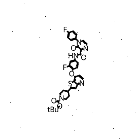 CC(C)(C)OC(=O)N1CCC(c2cc3nccc(Oc4ccc(NC(=O)c5nccn(-c6ccc(F)cc6)c5=O)cc4F)c3s2)CC1